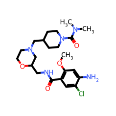 COc1cc(N)c(Cl)cc1C(=O)NCC1CN(CC2CCN(C(=O)N(C)C)CC2)CCO1